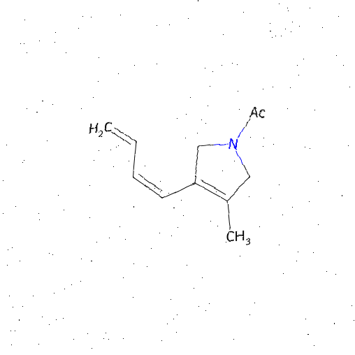 C=C/C=C\C1=C(C)CN(C(C)=O)C1